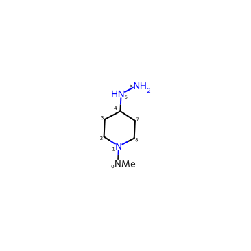 CNN1CCC(NN)CC1